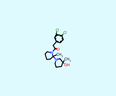 CC1(O)CCCN(C2(C)CCCCN2C(=O)Cc2ccc(Cl)c(Cl)c2)C1